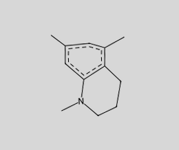 Cc1cc(C)c2c(c1)N(C)CCC2